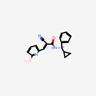 Bc1cccc(/C=C(\C#N)C(=O)N[C@H](c2ccccc2)C2CC2)n1